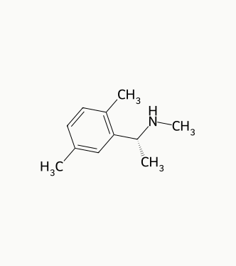 CN[C@H](C)c1cc(C)ccc1C